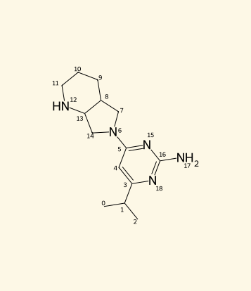 CC(C)c1cc(N2CC3CCCNC3C2)nc(N)n1